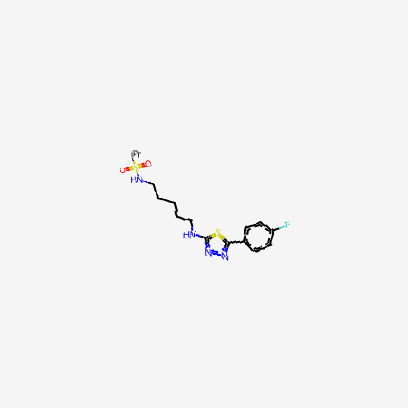 CC(C)S(=O)(=O)NCCCCCNc1nnc(-c2ccc(F)cc2)s1